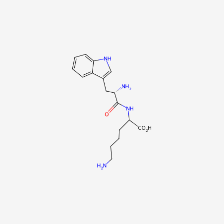 NCCCCC(NC(=O)[C@@H](N)Cc1c[nH]c2ccccc12)C(=O)O